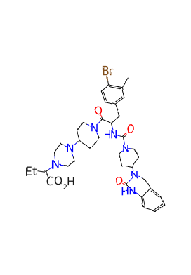 CCC(C(=O)O)N1CCN(C2CCN(C(=O)C(Cc3ccc(Br)c(C)c3)NC(=O)N3CCC(N4Cc5ccccc5NC4=O)CC3)CC2)CC1